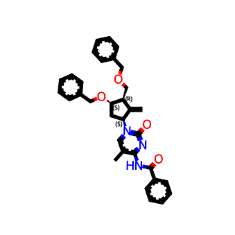 C=C1[C@H](COCc2ccccc2)[C@@H](OCc2ccccc2)C[C@@H]1n1cc(C)c(NC(=O)c2ccccc2)nc1=O